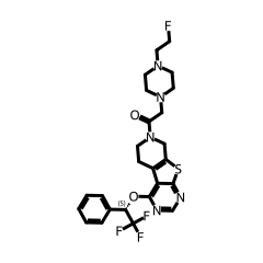 O=C(CN1CCN(CCF)CC1)N1CCc2c(sc3ncnc(O[C@@H](c4ccccc4)C(F)(F)F)c23)C1